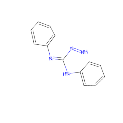 N=N/C(=N\c1ccccc1)Nc1ccccc1